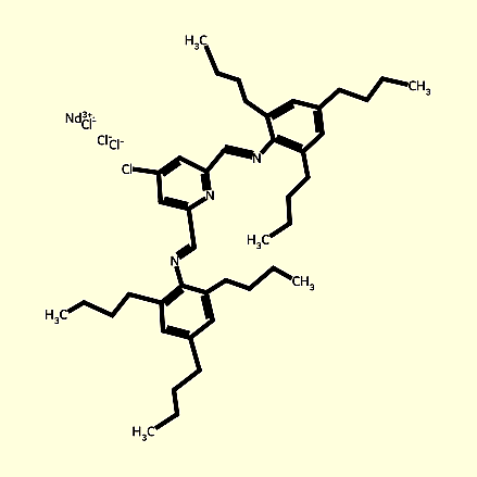 CCCCc1cc(CCCC)c(N=Cc2cc(Cl)cc(C=Nc3c(CCCC)cc(CCCC)cc3CCCC)n2)c(CCCC)c1.[Cl-].[Cl-].[Cl-].[Nd+3]